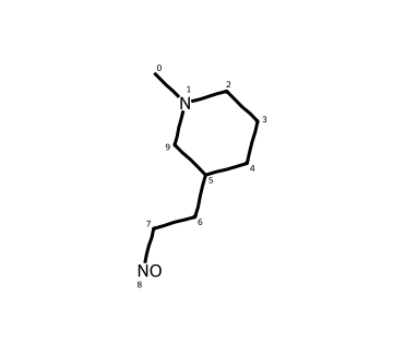 CN1CCCC(CCN=O)C1